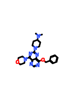 CN(C)C1CCN(c2nc(N3CCOCC3)c3ncnc(OCc4ccccc4)c3n2)CC1